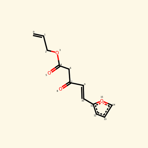 C=CCOC(=O)CC(=O)C=Cc1ccco1